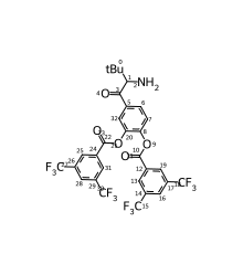 CC(C)(C)C(N)C(=O)c1ccc(OC(=O)c2cc(C(F)(F)F)cc(C(F)(F)F)c2)c(OC(=O)c2cc(C(F)(F)F)cc(C(F)(F)F)c2)c1